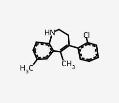 CC1=C(c2ccccc2Cl)CCNc2ccc(C)cc21